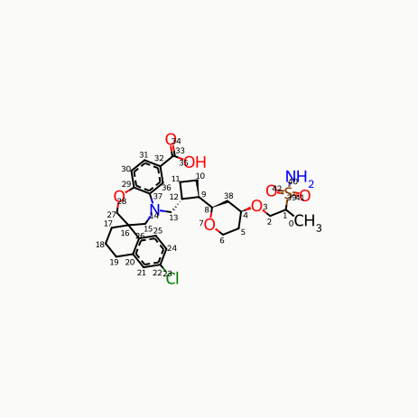 CC(CO[C@H]1CCO[C@@H]([C@@H]2CC[C@H]2CN2CC3(CCCc4cc(Cl)ccc43)COc3ccc(C(=O)O)cc32)C1)S(N)(=O)=O